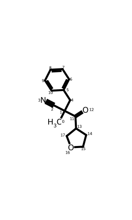 CC(C#N)(Cc1ccccc1)C(=O)C1CCOC1